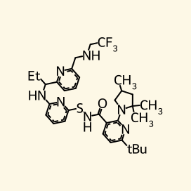 CCC(Nc1cccc(SNC(=O)c2ccc(C(C)(C)C)nc2N2CC(C)CC2(C)C)n1)c1cccc(CNCC(F)(F)F)n1